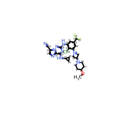 COC1CCN(C2CN(c3cc(C(F)F)cc(Nc4nc(NC5CC5)c5ncc(C#N)n5n4)c3Cl)C2)CC1